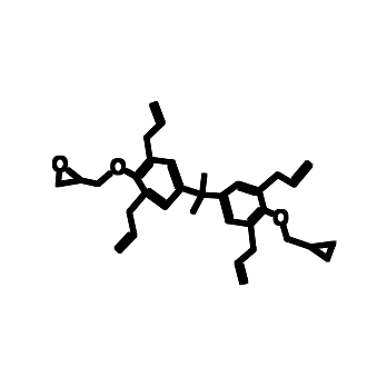 C=CCc1cc(C(C)(C)c2cc(CC=C)c(OCC3CO3)c(CC=C)c2)cc(CC=C)c1OCC1CC1